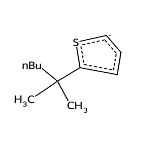 CCCCC(C)(C)c1cc[c]s1